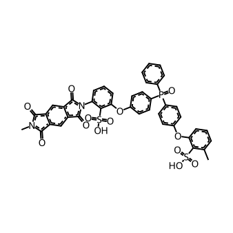 Cc1cccc(Oc2ccc(P(=O)(c3ccccc3)c3ccc(Oc4cccc(-n5c(=O)c6cc7c(=O)n(C)c(=O)c7cc6c5=O)c4S(=O)(=O)O)cc3)cc2)c1S(=O)(=O)O